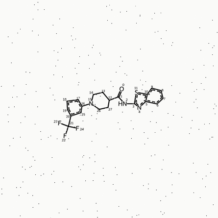 O=C(Nc1nc2ccccc2s1)C1CCN(c2cccc(C(F)(F)F)c2)CC1